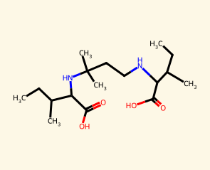 CCC(C)C(NCCC(C)(C)NC(C(=O)O)C(C)CC)C(=O)O